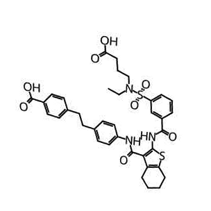 CCN(CCCC(=O)O)S(=O)(=O)c1cccc(C(=O)Nc2sc3c(c2C(=O)Nc2ccc(CCc4ccc(C(=O)O)cc4)cc2)CCCC3)c1